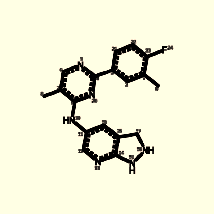 Cc1cc(-c2ncc(C)c(Nc3cnc4c(c3)CNN4)n2)ccc1F